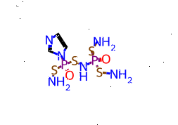 NSP(=O)(NSP(=O)(SN)n1ccnc1)SN